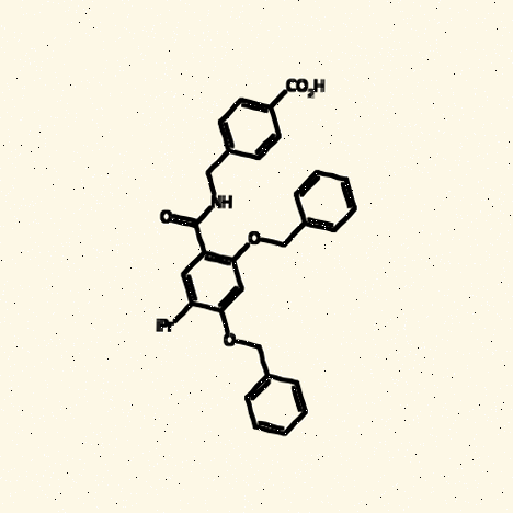 CC(C)c1cc(C(=O)NCc2ccc(C(=O)O)cc2)c(OCc2ccccc2)cc1OCc1ccccc1